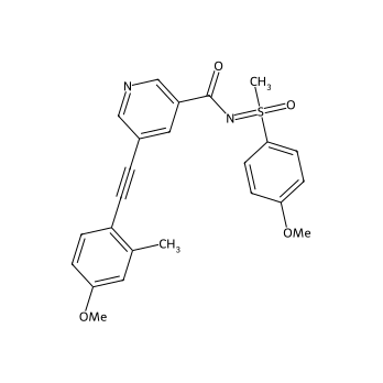 COc1ccc(S(C)(=O)=NC(=O)c2cncc(C#Cc3ccc(OC)cc3C)c2)cc1